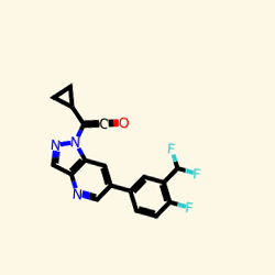 O=C=C(C1CC1)n1ncc2ncc(-c3ccc(F)c(C(F)F)c3)cc21